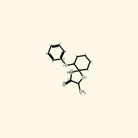 CC1OC2(CCCCC2Oc2ccccc2)NC1=O